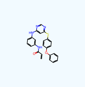 C=CC(=O)Nc1cccc(Nc2cc(Sc3ccc(Oc4ccccc4)cc3)ncn2)c1